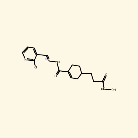 O=C(CCC1CC=C(C(=O)N/N=C/c2cccnc2Cl)CC1)NO